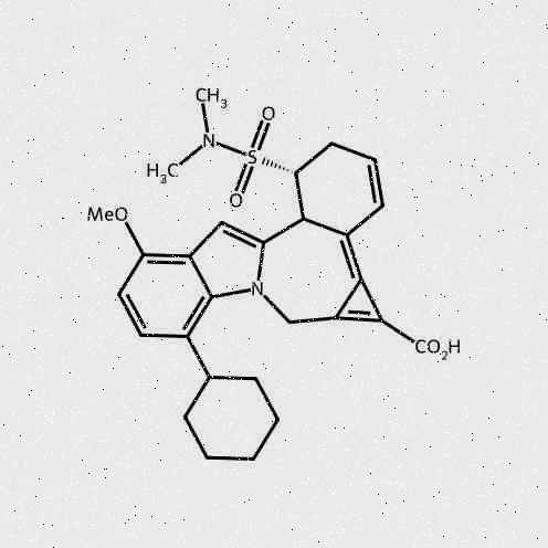 COc1ccc(C2CCCCC2)c2c1cc1n2CC2=C(C(=O)O)C2=C2C=CC[C@@H](S(=O)(=O)N(C)C)C21